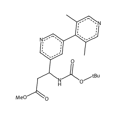 COC(=O)CC(NC(=O)OC(C)(C)C)c1cncc(-c2c(C)cncc2C)c1